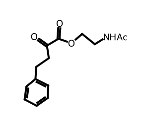 CC(=O)NCCOC(=O)C(=O)CCc1ccccc1